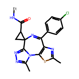 CCNC(=O)C1CC12N=C(c1ccc(Cl)cc1)c1nc(C)sc1-n1c(C)nnc12